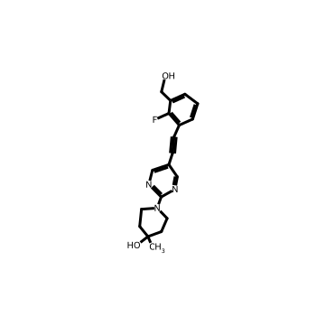 CC1(O)CCN(c2ncc(C#Cc3cccc(CO)c3F)cn2)CC1